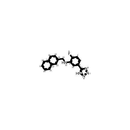 Fc1ccc(-c2nnn[nH]2)cc1NCc1ccc2ccccc2c1